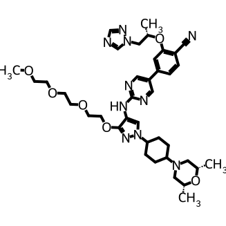 COCCOCCOCCOc1nn(C2CCC(N3C[C@@H](C)O[C@@H](C)C3)CC2)cc1Nc1ncc(-c2ccc(C#N)c(O[C@@H](C)Cn3cncn3)c2)cn1